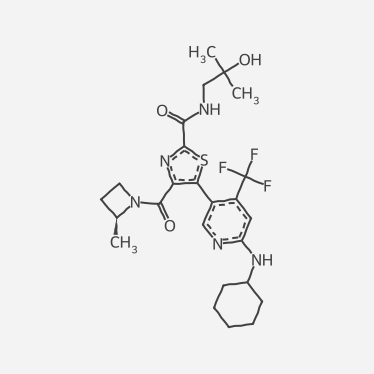 C[C@H]1CCN1C(=O)c1nc(C(=O)NCC(C)(C)O)sc1-c1cnc(NC2CCCCC2)cc1C(F)(F)F